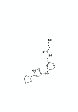 NCCC(=O)NCc1cccc(Nc2cc(C3CCCC3)[nH]n2)n1